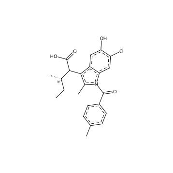 CC[C@H](C)C(C(=O)O)c1c(C)n(C(=O)c2ccc(C)cc2)c2cc(Cl)c(O)cc12